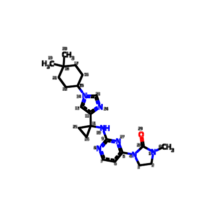 CN1CCN(c2ccnc(NC3(c4cn(C5CCC(C)(C)CC5)cn4)CC3)n2)C1=O